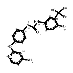 Nc1ccnc(Oc2ccc(NC(=O)Nc3ccc(Br)c(C(F)(F)F)c3)cc2)n1